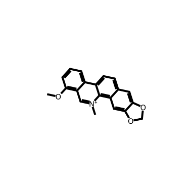 COc1cccc2c1c[n+](C)c1c3cc4c(cc3ccc21)OCO4